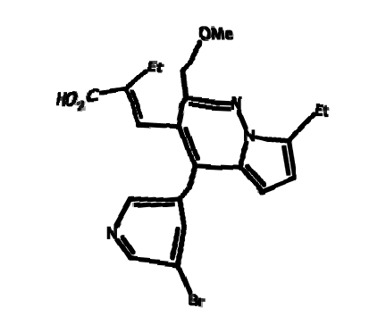 CC/C(=C\c1c(COC)nn2c(CC)ccc2c1-c1cncc(Br)c1)C(=O)O